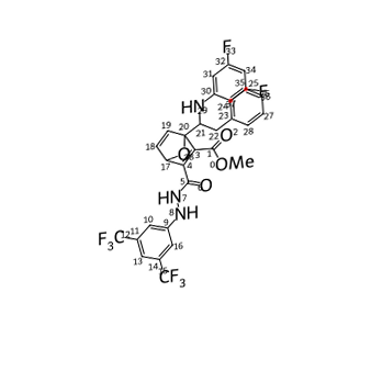 COC(=O)C1=C(C(=O)NNc2cc(C(F)(F)F)cc(C(F)(F)F)c2)C2C=CC1(C(Cc1ccccc1)Nc1cc(F)cc(F)c1)O2